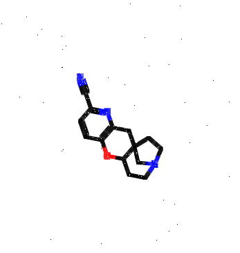 N#Cc1ccc2c(n1)CC13CCN(CCC1O2)C3